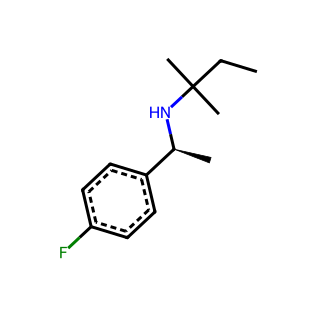 CCC(C)(C)N[C@@H](C)c1ccc(F)cc1